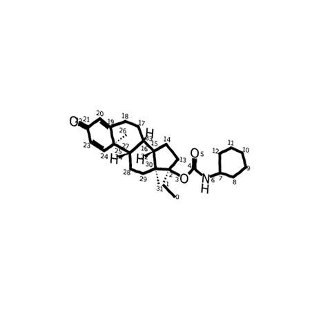 CC[C@@]1(OC(=O)NC2CCCCC2)CC[C@H]2[C@@H]3CCC4=CC(=O)C=C[C@]4(C)[C@H]3CC[C@@]21C